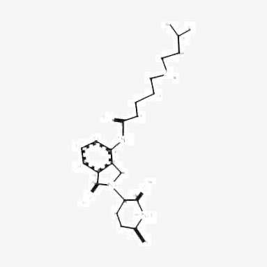 C=C1CCC(N2Cc3c(NC(=O)CCCCOCCC(C)C)cccc3C2=O)C(=O)N1